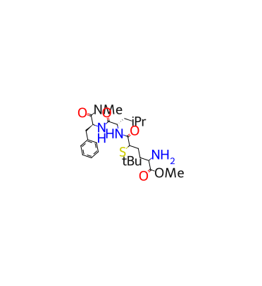 CNC(=O)[C@H](Cc1ccccc1)NC(=O)[C@H](CC(C)C)NC(=O)C(CCC(N)C(=O)OC)SC(C)(C)C